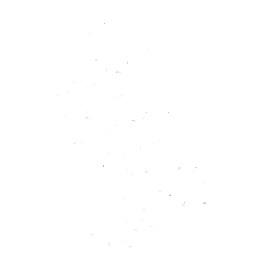 CC1(C)c2ccccc2-c2c1cc(-c1c3ccccc3c(-c3cc4c5ccccc5oc4c4c3oc3ccccc34)c3ccccc13)c1ccccc21